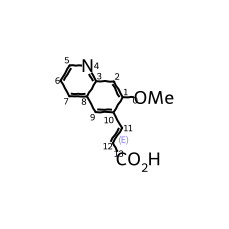 COc1cc2ncccc2cc1/C=C/C(=O)O